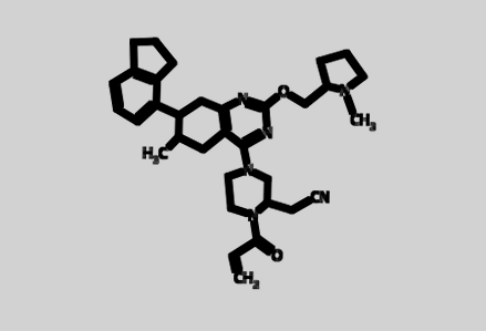 C=CC(=O)N1CCN(c2nc(OCC3CCCN3C)nc3c2CC(C)C(c2cccc4c2CCC4)C3)CC1CC#N